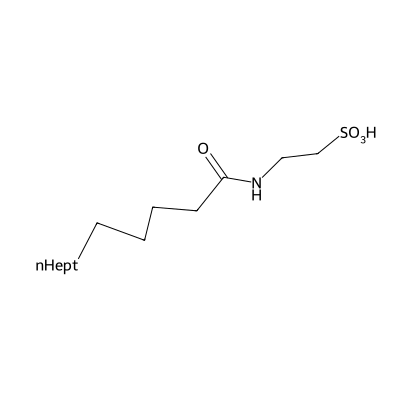 CCCCCCCCCCCC(=O)NCCS(=O)(=O)O